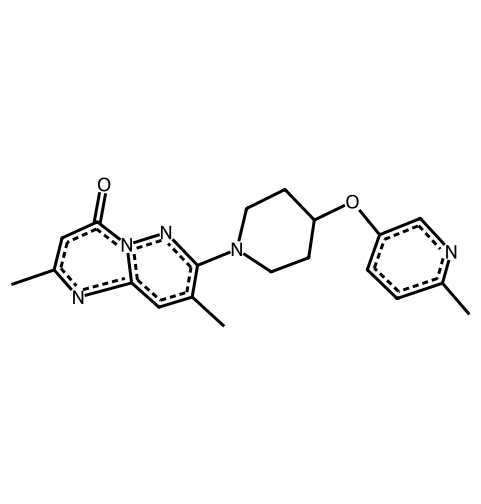 Cc1ccc(OC2CCN(c3nn4c(=O)cc(C)nc4cc3C)CC2)cn1